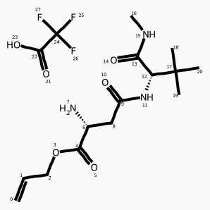 C=CCOC(=O)[C@H](N)CC(=O)N[C@H](C(=O)NC)C(C)(C)C.O=C(O)C(F)(F)F